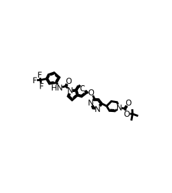 CC(C)(C)OC(=O)N1C=CC(c2cc(Oc3ccc4c(ccn4C(=O)Nc4cccc(C(F)(F)F)c4)c3)ncn2)CC1